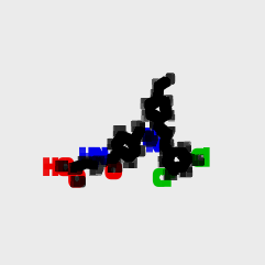 CCc1ccc(-c2cc(-c3cc(Cl)cc(Cl)c3)nn2Cc2ccc(C(=O)NCCC(=O)O)cc2)cc1